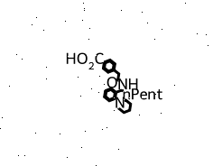 CCCCCC(NC(=O)Cc1ccc(C(=O)O)cc1)c1ccccc1N1CCCCC1